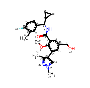 CCOc1c(C(=O)N[C@H](c2ccc(F)c(C)c2)C2CC2)cc(CO)cc1-c1cn(C)nc1C(F)(F)F